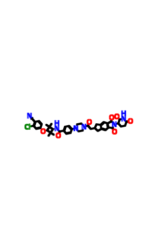 CC1(C)[C@H](NC(=O)c2ccc(N3CCN(C(=O)CC4Cc5cc6c(cc5C4)C(=O)N(C4CCC(=O)NC4=O)C6=O)CC3)cc2)C(C)(C)[C@H]1Oc1ccc(C#N)c(Cl)c1